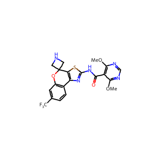 COc1ncnc(OC)c1C(=O)Nc1nc2c(s1)C1(CNC1)Oc1cc(C(F)(F)F)ccc1-2